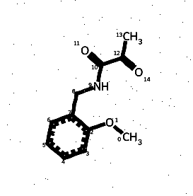 COc1ccccc1CNC(=O)C(C)=O